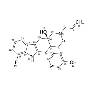 C=CCN1CC[C@@]2(c3cccc(O)c3)Cc3[nH]c4c(F)cccc4c3C[C@]2(O)C1